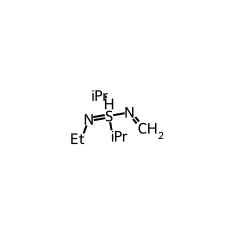 C=N[SH](=NCC)(C(C)C)C(C)C